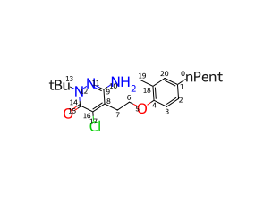 CCCCCc1ccc(OCCc2c(N)nn(C(C)(C)C)c(=O)c2Cl)c(C)c1